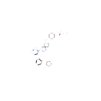 NC(=O)O[C@H]1CC[C@H](CN2CCC3(CCN(c4ncncc4Oc4ccc(F)cc4OC4CCCC4)C3)C2)CC1